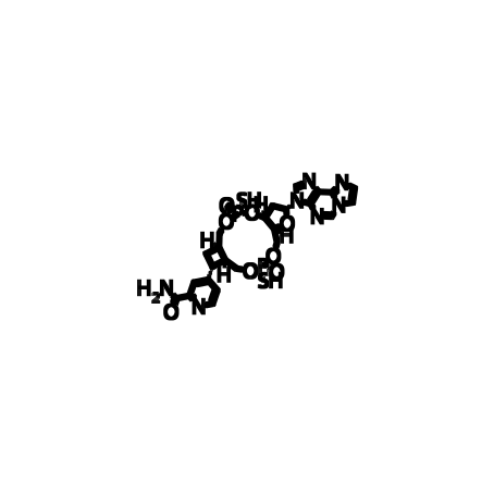 NC(=O)c1cc([C@@H]2C[C@@H]3CO[P@](=O)(S)O[C@H]4C[C@H](n5cnc6c5ncn5ccnc65)O[C@@H]4CO[P@](=O)(S)OC[C@H]32)ccn1